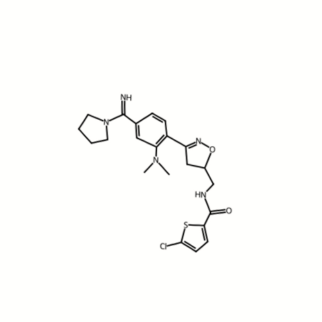 CN(C)c1cc(C(=N)N2CCCC2)ccc1C1=NOC(CNC(=O)c2ccc(Cl)s2)C1